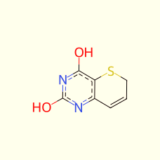 Oc1nc(O)c2c(n1)C=CCS2